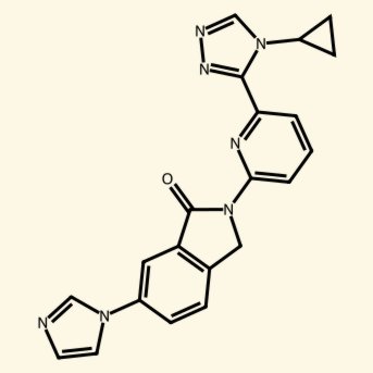 O=C1c2cc(-n3ccnc3)ccc2CN1c1cccc(-c2nncn2C2CC2)n1